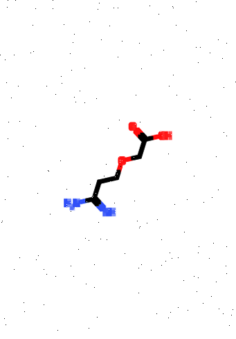 N=C(N)CCOCC(=O)O